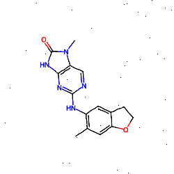 Cc1cc2c(cc1Nc1ncc3c(n1)[nH]c(=O)n3C)CCO2